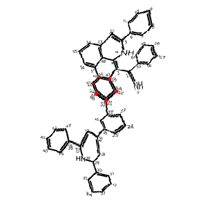 N=C(/C(=C1\NC(c2ccccc2)=Cc2cccc(-c3ccc(-c4cccc(C5=CC(c6ccccc6)NC(c6ccccc6)=C5)c4)cc3)c21)c1ccccc1)c1ccccc1